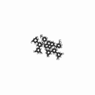 Cc1cc(C)cc(-c2cc(-c3cc(C)cc(C)c3)cc(N(c3cccc(F)c3)c3ccc4ccc5c(N(c6cccc(F)c6)c6cc(-c7cc(C)cc(C)c7)cc(-c7cc(C)cc(C)c7)c6)ccc6ccc3c4c65)c2)c1